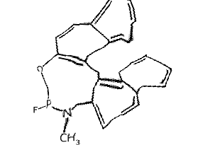 Cn1c2ccc3ccccc3c2c2c(ccc3ccccc32)op1F